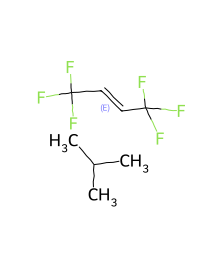 CC(C)C.FC(F)(F)/C=C/C(F)(F)F